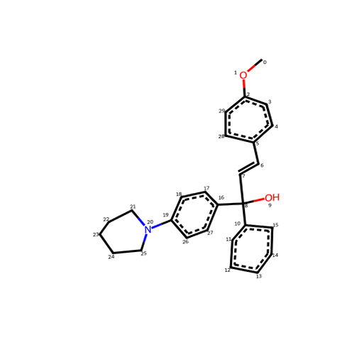 COc1ccc(C=CC(O)(c2ccccc2)c2ccc(N3CCCCC3)cc2)cc1